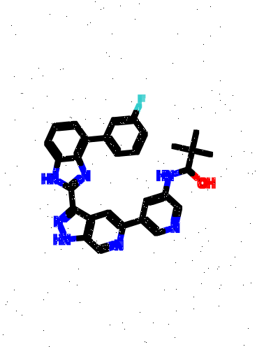 CC(C)(C)C(O)Nc1cncc(-c2cc3c(-c4nc5c(-c6cccc(F)c6)cccc5[nH]4)n[nH]c3cn2)c1